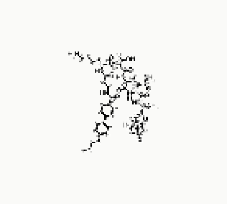 CCCCc1ccc(-c2ccc(C(=O)NCCC(=O)N[C@@H](CCCCN)C(=O)N[C@H](C(=O)N[C@H](C(=O)N[C@@H](CC(N)=O)C(=O)N[C@@H](N)B3OC4C[C@@H]5C[C@@H](C5(C)C)[C@]4(C)O3)C(C)C)C(C)O)cc2)cc1